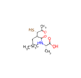 CC(=O)[C@@H](S)C(CC(C)C)C(=O)N[C@@H](C)C(=O)O